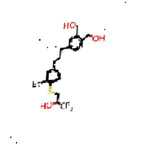 CCc1cc(CCCc2ccc(CO)c(CO)c2)ccc1SCC(O)C(F)(F)F